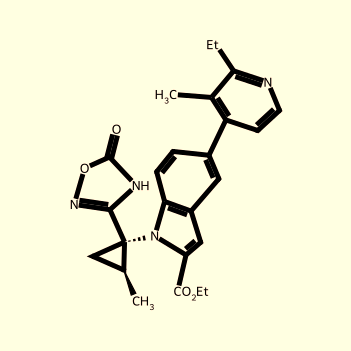 CCOC(=O)c1cc2cc(-c3ccnc(CC)c3C)ccc2n1[C@@]1(c2noc(=O)[nH]2)C[C@@H]1C